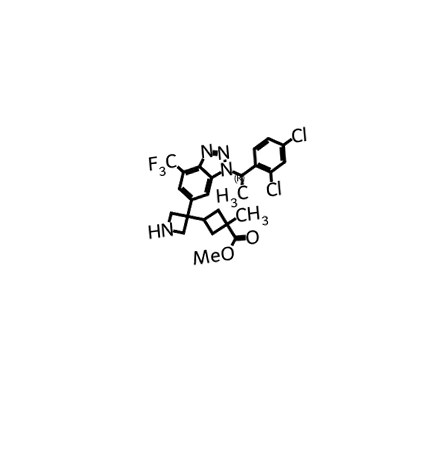 COC(=O)C1(C)CC(C2(c3cc(C(F)(F)F)c4nnn([C@H](C)c5ccc(Cl)cc5Cl)c4c3)CNC2)C1